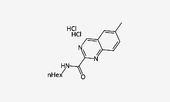 CCCCCCNC(=O)c1ncc2cc(C)ccc2n1.Cl.Cl